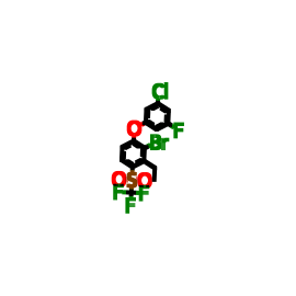 CCc1c(S(=O)(=O)C(F)(F)F)ccc(Oc2cc(F)cc(Cl)c2)c1Br